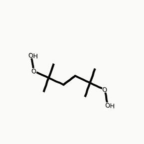 CC(C)(CCC(C)(C)OO)OO